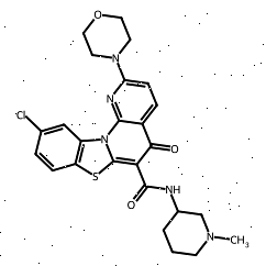 CN1CCCC(NC(=O)c2c(=O)c3ccc(N4CCOCC4)nc3n3c2sc2ccc(Cl)cc23)C1